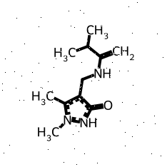 C=C(NCc1c(C)n(C)[nH]c1=O)C(C)C